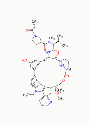 C=CC(=O)N1CC[C@H](C(=O)N(C)[C@H](C(=O)N[C@H]2Cc3cc(O)cc(c3)-c3ccc4c(c3C)c3c(n4CC)-c4cccnc4[C@@H](OC)C3C(C)(C)COC(=O)[C@@H]3CCCN(N3)C2=O)C(C)C)C1